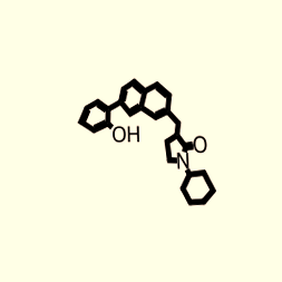 O=C1C(Cc2ccc3ccc(-c4ccccc4O)cc3c2)CCN1C1CCCCC1